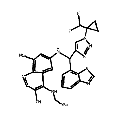 CC(C)(C)CNc1c(C#N)cnc2c(C#N)cc(NC(c3cn(C4(C(F)F)CC4)nn3)c3cccc4ncsc34)cc12